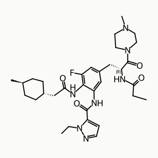 CCC(=O)N[C@H](Cc1cc(F)c(NC(=O)C[C@H]2CC[C@H](C)CC2)c(NC(=O)c2ccnn2CC)c1)C(=O)N1CCN(C)CC1